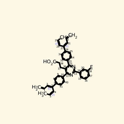 C=C/C=C(\C=C/C)c1ccc(-c2nc(-c3cccc(F)c3)nc(-c3ccc(C(/C=C\C)=C/C=C)cc3)c2CCC(=O)O)cc1